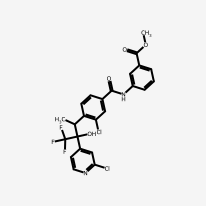 COC(=O)c1cccc(NC(=O)c2ccc(C(C)C(O)(c3ccnc(Cl)c3)C(F)(F)F)c(Cl)c2)c1